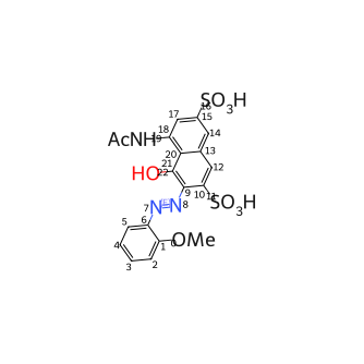 COc1ccccc1/N=N/c1c(S(=O)(=O)O)cc2cc(S(=O)(=O)O)cc(NC(C)=O)c2c1O